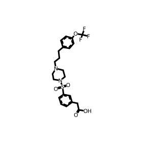 O=C(O)Cc1cccc(S(=O)(=O)N2CCN(CCCc3ccc(OC(F)(F)F)cc3)CC2)c1